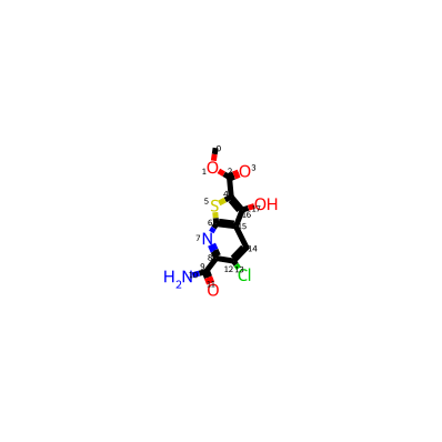 COC(=O)c1sc2nc(C(N)=O)c(Cl)cc2c1O